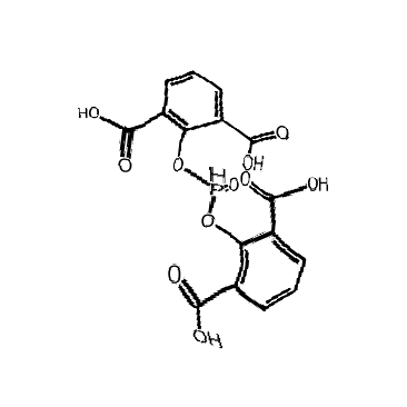 O=C(O)c1cccc(C(=O)O)c1O[PH](=O)Oc1c(C(=O)O)cccc1C(=O)O